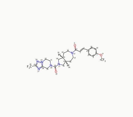 O=C(C=Cc1ccc(OC(F)(F)F)cc1)N1CC[C@@H]2CN(C(=O)N3CCn4nc(C(F)(F)F)nc4C3)C[C@@H]2CC1